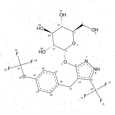 OC[C@H]1O[C@H](Oc2n[nH]c(C(F)(F)F)c2Cc2ccc(OC(F)(F)F)cc2)[C@H](O)[C@@H](O)[C@@H]1O